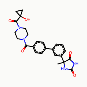 CC1(c2cccc(-c3ccc(C(=O)N4CCN(C(=O)C5(O)CC5)CC4)cc3)c2)NC(=O)NC1=O